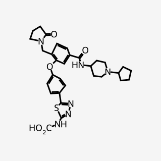 O=C(O)Nc1nnc(-c2ccc(Oc3cc(C(=O)NC4CCN(C5CCCC5)CC4)ccc3CN3CCCC3=O)cc2)s1